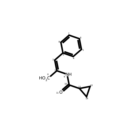 O=C(O)/C(=C/c1ccccc1)NC(=O)C1CC1